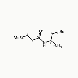 CSCCC(=O)NC(C)CC(C)(C)C